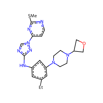 CCc1cc(Nc2ncn(-c3ccnc(SC)n3)n2)cc(N2CCN(C3COC3)CC2)c1